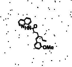 C=CCC(=Cc1cccc(OC)c1)CCC(=O)Nc1cccc2cccnc12